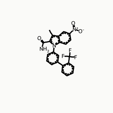 Cc1c(C(N)=O)n(-c2cccc(-c3ccccc3C(F)(F)F)c2)c2ccc([N+](=O)[O-])cc12